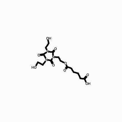 O=C(O)CCCCC(=O)OCCn1c(=O)n(CCO)c(=O)n(CCO)c1=O